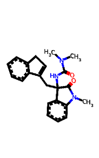 CN(C)C(=O)NC1(CC2=CCc3ccccc32)C(=O)N(C)c2ccccc21